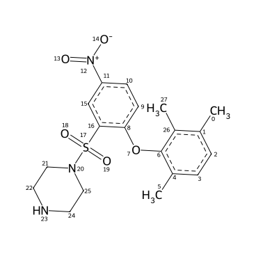 Cc1ccc(C)c(Oc2ccc([N+](=O)[O-])cc2S(=O)(=O)N2CCNCC2)c1C